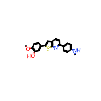 CNc1ccc(-c2ccc3cc(-c4ccc(OC)c(O)c4)sc3n2)cc1